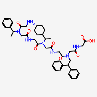 CC(c1ccccc1)N(CC(=O)NCC(=O)N(CC(=O)NCC(=O)N(CC(=O)NCC(=O)O)CC(c1ccccc1)c1ccccc1)C(C)C1CCCCC1)C(=O)CN